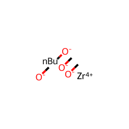 CCCC[O-].C[O-].C[O-].C[O-].[Zr+4]